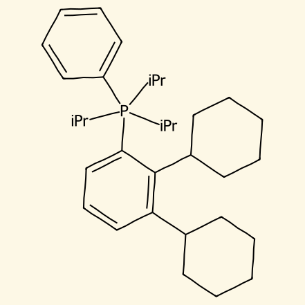 CC(C)P(c1ccccc1)(c1cccc(C2CCCCC2)c1C1CCCCC1)(C(C)C)C(C)C